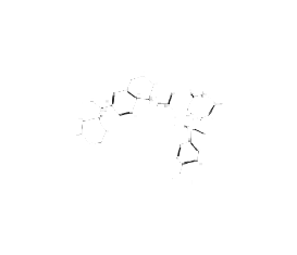 Cc1ccc(S(=O)(=O)N2C=CNC(=O)[C@H]2CC(=O)N[C@@H]2CCCc3cc(C(C)N4CCCCC4)ccc32)cc1